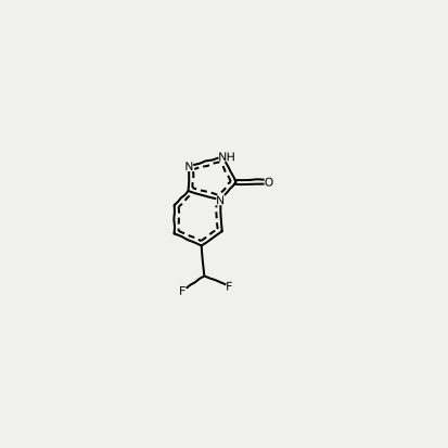 O=c1[nH]nc2ccc(C(F)F)cn12